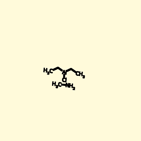 CN.C[CH2][Al]([Cl])[CH2]C